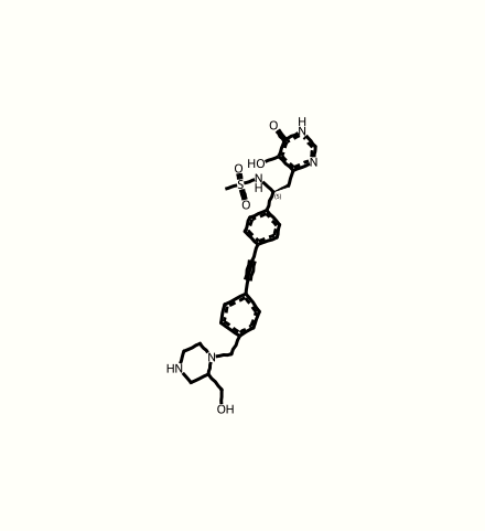 CS(=O)(=O)N[C@@H](Cc1nc[nH]c(=O)c1O)c1ccc(C#Cc2ccc(CN3CCNCC3CO)cc2)cc1